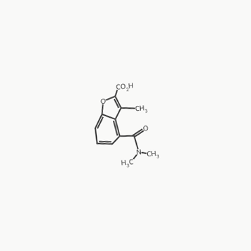 Cc1c(C(=O)O)oc2cccc(C(=O)N(C)C)c12